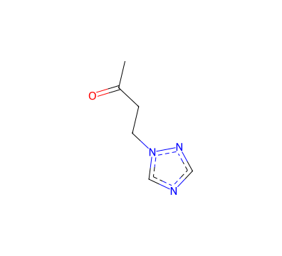 CC(=O)CCn1cncn1